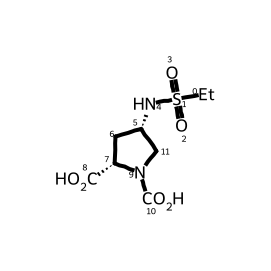 CCS(=O)(=O)N[C@H]1C[C@@H](C(=O)O)N(C(=O)O)C1